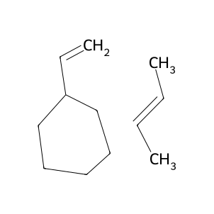 C=CC1CCCCC1.CC=CC